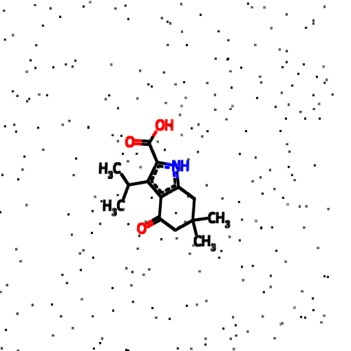 CC(C)c1c(C(=O)O)[nH]c2c1C(=O)CC(C)(C)C2